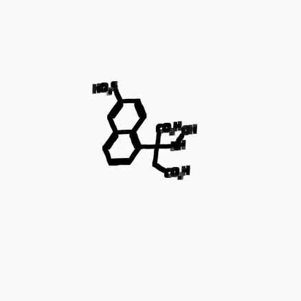 O=C(O)CC(NO)(C(=O)O)c1cccc2cc(S(=O)(=O)O)ccc12